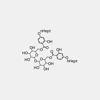 CCCCCCCOc1ccc(C(=O)OCC2OC(OC3OC(COC(=O)c4ccc(OCCCCCCC)cc4O)C(O)C(O)C3O)C(O)C(O)C2O)c(O)c1